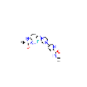 CCc1nc2ccc(CN3CCN(c4ccc(C(=O)NC5CCC5)nc4)CC3)c(F)c2[nH]c1=O